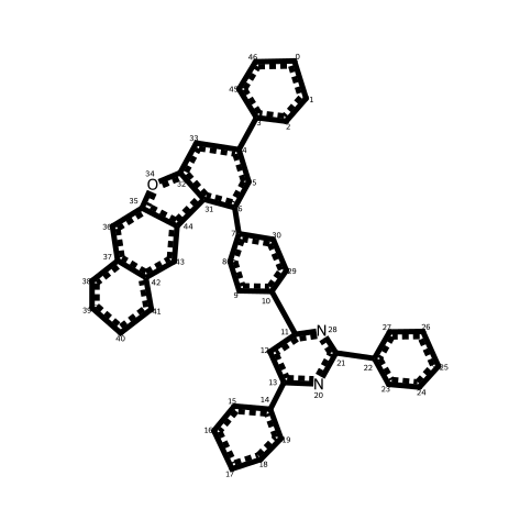 c1ccc(-c2cc(-c3ccc(-c4cc(-c5ccccc5)nc(-c5ccccc5)n4)cc3)c3c(c2)oc2cc4ccccc4cc23)cc1